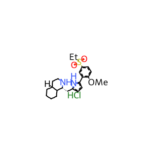 CCS(=O)(=O)c1ccc(OC)c(-c2ccc(C[C@H]3NCC[C@H]4CCCCC43)[nH]2)c1.Cl